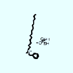 CCCCCCCCCCCCCCCC[N+](C)(C)Cc1ccccc1.O=P(O)(O)O